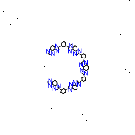 c1cc(-c2cnc3c(ccc4nccnc43)n2)cc(-c2cnc3c(ccc4nc(-c5cccc(-c6cnc7c(ccc8nc(-c9cccc(-c%10cnc%11c(ccc%12nc(-c%13cccc(-c%14cnc%15c(ccc%16nccnc%16%15)n%14)c%13)cnc%12%11)n%10)c9)cnc87)n6)c5)cnc43)n2)c1